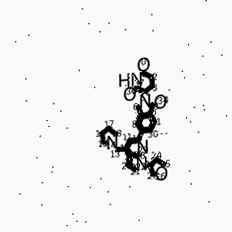 O=C1CCC(N2Cc3cc(-c4cc(CN5CCCC5)c5ccn(C6CCOC6)c5n4)ccc3C2=O)C(=O)N1